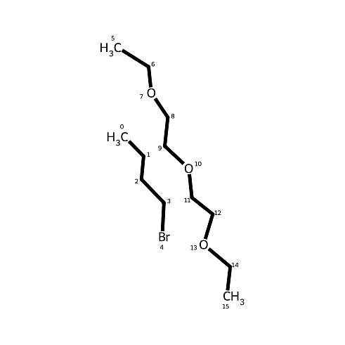 CCCCBr.CCOCCOCCOCC